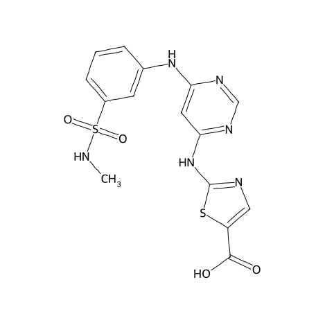 CNS(=O)(=O)c1cccc(Nc2cc(Nc3ncc(C(=O)O)s3)ncn2)c1